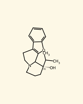 CC(C)[C@@]1(O)CCCN2CCc3c(oc4ccccc34)C21